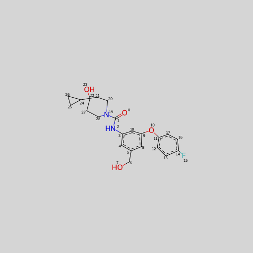 O=C(Nc1cc(CO)cc(Oc2ccc(F)cc2)c1)N1CCC(O)(C2CC2)CC1